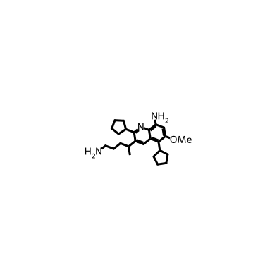 COc1cc(N)c2nc(C3CCCC3)c(C(C)CCCN)cc2c1C1CCCC1